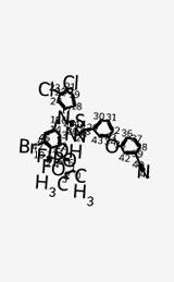 CCC(C)OP(=O)(O)C(F)(F)c1ccc(CN(c2ccc(Cl)c(Cl)c2)c2nnc(-c3cccc(Oc4cccc(C#N)c4)c3)s2)cc1Br